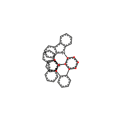 c1ccc(-c2ccccc2-n2c3ccccc3c3ccccc32)c(-c2ccccc2-c2ccccc2-n2c3ccccc3c3ccccc32)c1